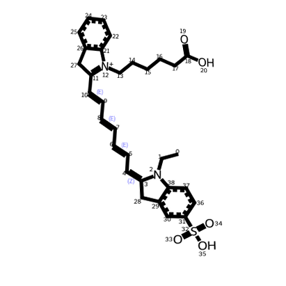 CCN1\C(=C/C=C/C=C/C=C/C2=[N+](CCCCCC(=O)O)c3ccccc3C2)Cc2cc(S(=O)(=O)O)ccc21